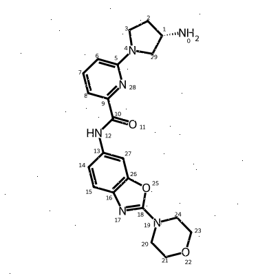 N[C@H]1CCN(c2cccc(C(=O)Nc3ccc4nc(N5CCOCC5)oc4c3)n2)C1